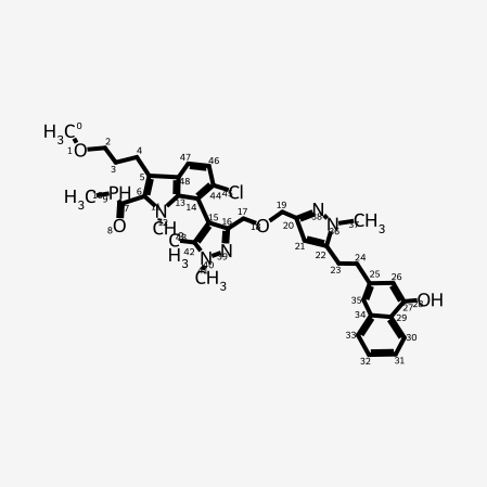 COCCCc1c(C(=O)PC)n(C)c2c(-c3c(COCc4cc(CCc5cc(O)c6ccccc6c5)n(C)n4)nn(C)c3C)c(Cl)ccc12